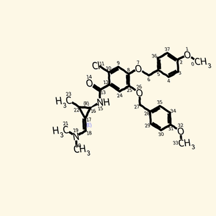 COc1ccc(COc2cc(Cl)c(C(=O)N[C@H]3/C(=C/N(C)C)C3C)cc2OCc2ccc(OC)cc2)cc1